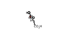 O=C(O)CCCC=CCC1CCCC1NS(=O)(=O)C=Cc1cccc(I)c1